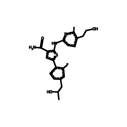 Cc1nc(Nc2sc(-c3ccc(CC(C)O)cc3F)cc2C(N)=O)ccc1CCO